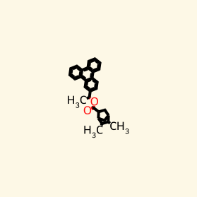 CC(OC(=O)C1CC2CC1C(C)C2C)c1ccc2c3ccccc3c3ccccc3c2c1